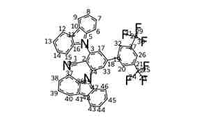 N#Cc1c(-n2c3ccccc3c3ccccc32)cc(-c2cc(C(F)(F)F)cc(C(F)(F)F)c2)cc1-n1c2ccccc2c2ccccc21